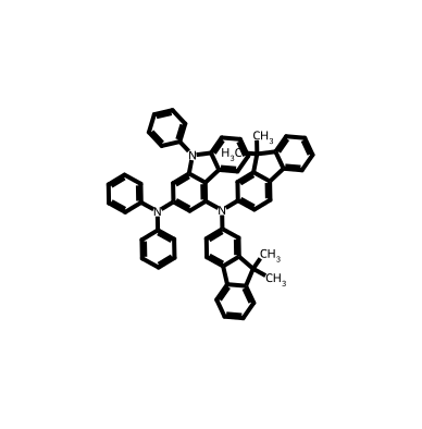 CC1(C)c2ccccc2-c2ccc(N(c3ccc4c(c3)C(C)(C)c3ccccc3-4)c3cc(N(c4ccccc4)c4ccccc4)cc4c3c3ccccc3n4-c3ccccc3)cc21